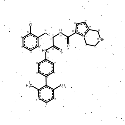 Cc1ccnc(C)c1-c1ccc(NC(=O)[C@H](Cc2ccccc2Cl)NC(=O)c2ccc3n2CCNC3)cc1